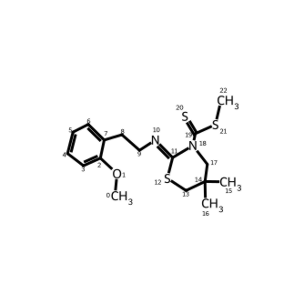 COc1ccccc1CCN=C1SCC(C)(C)CN1C(=S)SC